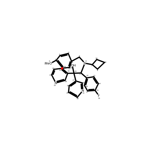 COc1ccc(CN(C2CCC2)C(c2ccc(F)cc2)C(O)(c2cccnc2)c2cccnc2)cc1